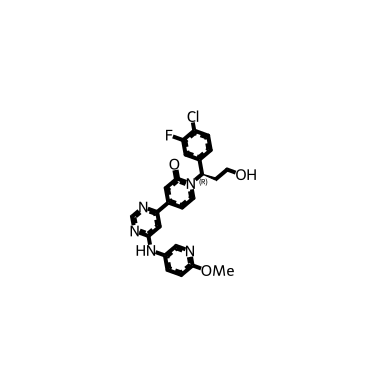 COc1ccc(Nc2cc(-c3ccn([C@H](CCO)c4ccc(Cl)c(F)c4)c(=O)c3)ncn2)cn1